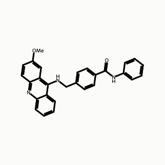 COc1ccc2nc3ccccc3c(NCc3ccc(C(=O)Nc4ccccc4)cc3)c2c1